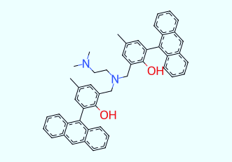 Cc1cc(CN(CCN(C)C)Cc2cc(C)cc(-c3c4ccccc4cc4ccccc34)c2O)c(O)c(-c2c3ccccc3cc3ccccc23)c1